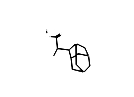 COC(=O)C(I)C1C2CC3CC(C2)CC1C3